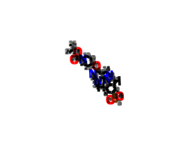 [3H]c1cc(S(C)(=O)=O)cc([3H])c1-n1ncc2c(OC3CCN(C(=O)OC(C)C)CC3)ncnc21